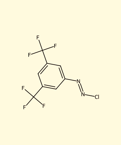 FC(F)(F)c1cc(N=NCl)cc(C(F)(F)F)c1